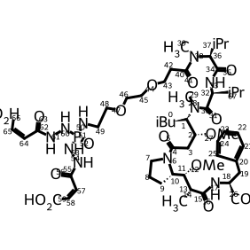 CC[C@H](C)[C@@H]([C@@H](CC(=O)N1CCC[C@H]1[C@H](OC)[C@@H](C)C(=O)N[C@@H](Cc1ccccc1)C(=O)O)OC)N(C)C(=O)[C@@H](NC(=O)[C@H](C(C)C)N(C)C(=O)CCOCCOCCNP(=O)(NNC(=O)/C=C\C(=O)O)NNC(=O)/C=C\C(=O)O)C(C)C